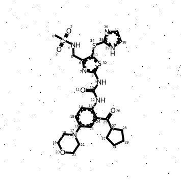 CS(=O)(=O)NCc1nc(NC(=O)Nc2ccc(N3CCOCC3)cc2C(=O)C2CCCC2)sc1Sc1ncc[nH]1